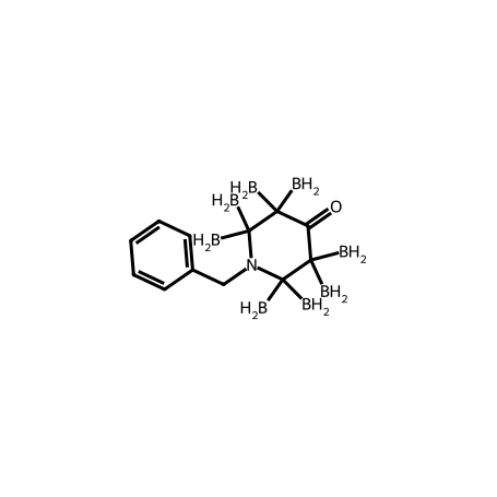 BC1(B)C(=O)C(B)(B)C(B)(B)N(Cc2ccccc2)C1(B)B